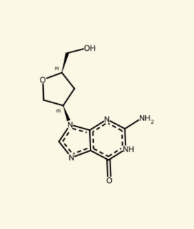 Nc1nc2c(ncn2[C@H]2CO[C@@H](CO)C2)c(=O)[nH]1